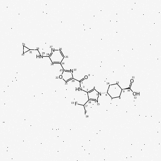 O=C(Nc1cn([C@H]2CC[C@H](C(=O)O)CC2)nc1C(F)F)c1coc(-c2ccnc(NCC3CC3)c2)n1